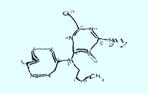 CCN(c1ccccc1)c1nc(N)nc(Cl)n1